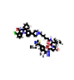 Cc1ncsc1-c1ccc([C@H](C)NC(=O)[C@@H]2C[C@@H](O)CN2C(=O)[C@@H](NC(=O)CCCCCN2CCC(c3ccc4c(c3)C3(CCCCC3)c3nc(=O)c5c(Cl)cccc5n3-4)CC2)C(C)(C)C)cc1